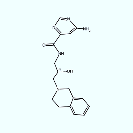 Nc1cc(C(=O)NC[C@H](O)CN2CCc3ccccc3C2)ncn1